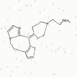 NCCN1CCC(=C2c3sccc3CCn3ccnc32)CC1